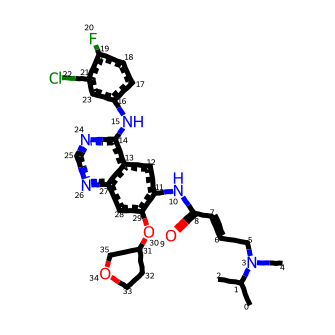 CC(C)N(C)CC=CC(=O)Nc1cc2c(Nc3ccc(F)c(Cl)c3)ncnc2cc1OC1CCOC1